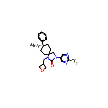 CN[C@]1(c2ccccc2)CC[C@@]2(CC1)CN(c1cnc(C(F)(F)F)nc1)C(=O)N2CC1COC1